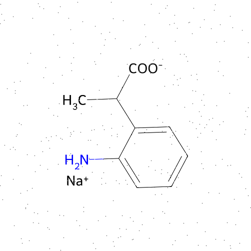 CC(C(=O)[O-])c1ccccc1N.[Na+]